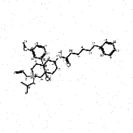 C=CC[N@@+]1(CC(C)C)CC[C@]2(c3cccc(OC)c3)C[C@@H](NC(=O)CCCCCc3ccccc3)CCC2(O)C1